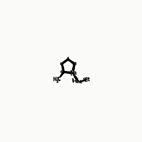 CCNN1CCCC1C